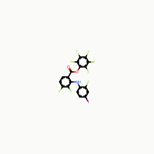 O=C(Oc1c(F)c(F)c(F)c(F)c1F)c1ccc(F)c(F)c1Nc1ccc(I)cc1F